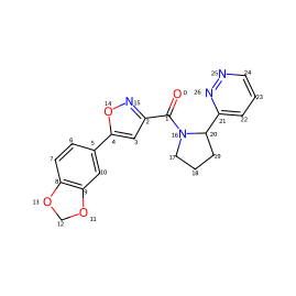 O=C(c1cc(-c2ccc3c(c2)OCO3)on1)N1CCCC1c1cccnn1